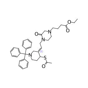 CCOC(=O)CCCN1CCN(C/C=C2\CN(C(c3ccccc3)(c3ccccc3)c3ccccc3)CCC2SC(C)=O)C(=O)C1